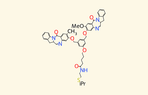 COc1cc2c(cc1OCc1cc(COc3cc4c(cc3C)C(=O)N3c5ccccc5CC3C=N4)cc(OCCCCC(=O)NCCSC(C)C)c1)N=CC1Cc3ccccc3N1C2=O